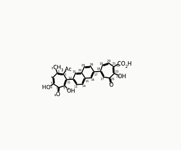 CC(=O)c1c(C)cc(O)c(=O)c(O)c1-c1ccc2cc(-c3ccc(C(=O)O)c(O)c(=O)c3)ccc2c1